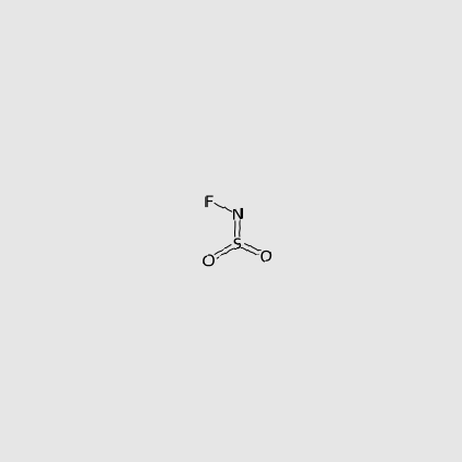 O=S(=O)=NF